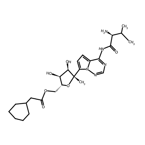 CC(C)[C@H](N)C(=O)Nc1ncnn2c([C@]3(C)O[C@H](COC(=O)CC4CCCCC4)[C@@H](O)[C@H]3O)ccc12